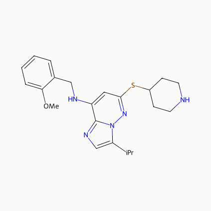 COc1ccccc1CNc1cc(SC2CCNCC2)nn2c(C(C)C)cnc12